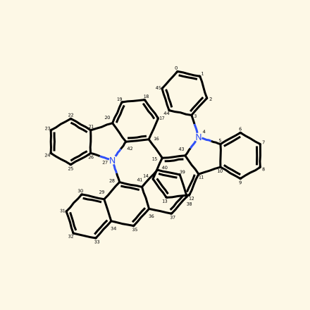 c1ccc(-n2c3ccccc3c3cccc(-c4cccc5c6ccccc6n(-c6c7ccccc7cc7ccccc67)c45)c32)cc1